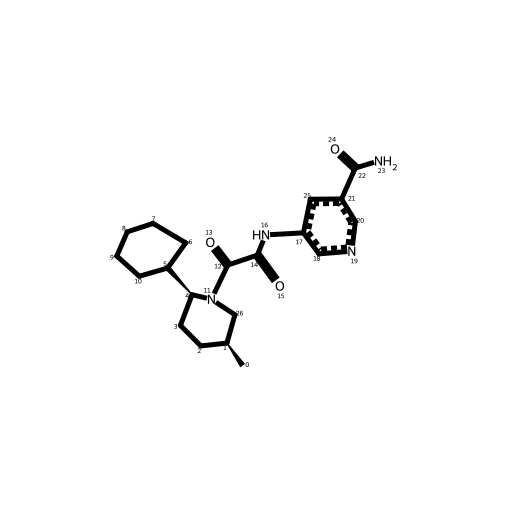 C[C@H]1CC[C@@H](C2CCCCC2)N(C(=O)C(=O)Nc2cncc(C(N)=O)c2)C1